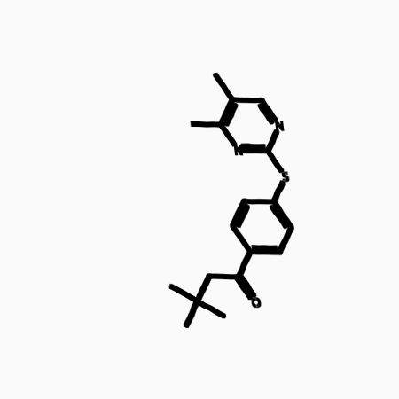 Cc1cnc(Sc2ccc(C(=O)CC(C)(C)C)cc2)nc1C